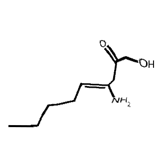 CCCC/C=C(\N)C(=O)O